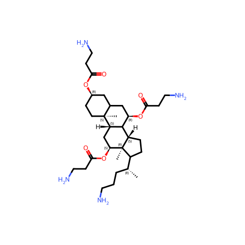 C[C@H](CCCN)C1CC[C@H]2C3[C@H](OC(=O)CCN)CC4C[C@H](OC(=O)CCN)CC[C@]4(C)[C@H]3C[C@H](OC(=O)CCN)[C@]12C